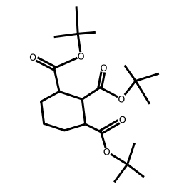 CC(C)(C)OC(=O)C1CCCC(C(=O)OC(C)(C)C)C1C(=O)OC(C)(C)C